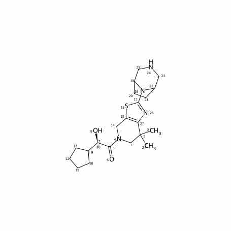 CC1(C)CN(C(=O)[C@H](O)C2CCCC2)Cc2sc(N3C4CCC3CNC4)nc21